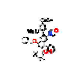 COc1ccc(-c2cc3c(OCc4ccccc4)cc(C4(O)CC(C)(C)CC(C)(C)C4)c(-c4ccccc4)c3cc2N2CCOCC2)c(OC)c1